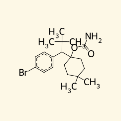 CC1(C)CCC(OC(N)=O)(C(c2ccc(Br)cc2)C(C)(C)C)CC1